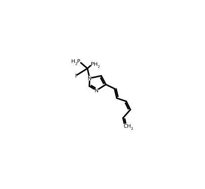 C=C/C=C\C=C\c1cn(C(P)(P)I)cn1